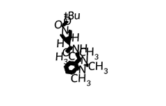 Cc1nc(C(C)(C)NC(=O)[C@H]2[C@@H]3CN(C(=O)OC(C)(C)C)C[C@@H]32)c2cccc(C)c2n1